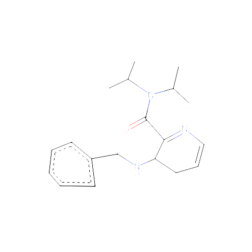 CC(C)N(C(=O)C1=NC=CCC1NCc1ccccc1)C(C)C